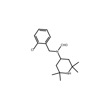 CC1(C)CC(N(C=O)Cc2ccccc2Cl)CC(C)(C)N1